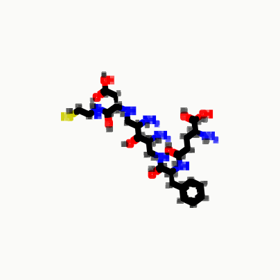 NC(CN[C@@H](CC(=O)O)C(=O)NCCS)C(=O)[C@@H](N)CNC(=O)[C@H](Cc1ccccc1)NC(=O)CC[C@H](N)C(=O)O